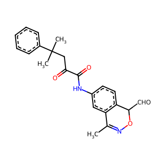 CC1=NOC(C=O)c2ccc(NC(=O)C(=O)CC(C)(C)c3ccccc3)cc21